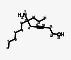 CCCCCCC(N)(CC#CCCO)CCC